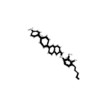 C/C=C/CCc1ccc(OCC2CCC3CC(C4CCC(C5CCC(CCC)CC5)CC4)CCC3C2)c(F)c1F